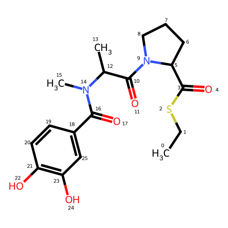 CCSC(=O)C1CCCN1C(=O)C(C)N(C)C(=O)c1ccc(O)c(O)c1